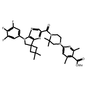 COC(=O)c1c(C)cc(N2CCN(C(=O)c3cnc4c(n3)C3(CN4c4cc(F)c(F)c(F)c4)CC(C)(C)C3)C(C)(C)C2)nc1C